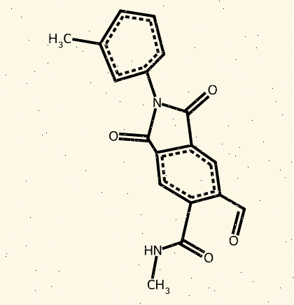 CNC(=O)c1cc2c(cc1C=O)C(=O)N(c1cccc(C)c1)C2=O